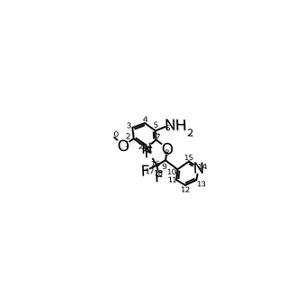 COc1ccc(N)c(OC(c2cccnc2)C(F)(F)F)n1